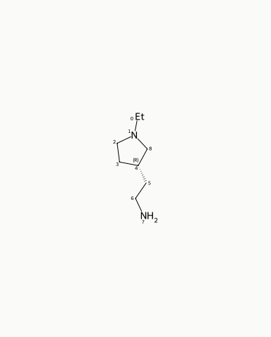 CCN1CC[C@@H](CCN)C1